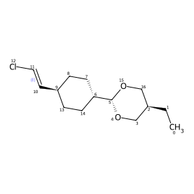 CC[C@H]1CO[C@H]([C@H]2CC[C@H](/C=C/Cl)CC2)OC1